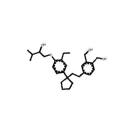 CCc1cc(C2(CCc3ccc(CO)c(CO)c3)CCCC2)ccc1OCC(O)C(C)C